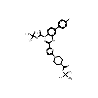 CC(C)(C)OC(=O)Nc1ccc(-c2ccc(F)cc2)cc1NC(=O)c1nc(N2CCN(C(=O)OC(C)(C)C)CC2)cs1